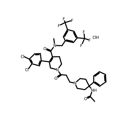 CC(=O)NC1(c2ccccc2)CCN(CCC(=O)N2CCC(C(=O)N(C)Cc3cc(C(F)(F)F)cc(C(F)(F)F)c3)=C(c3ccc(Cl)c(Cl)c3)C2)CC1.Cl